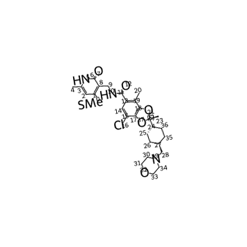 CSc1cc(C)[nH]c(=O)c1CNC(=O)c1cc(Cl)c2c(c1C)O[C@](C)([C@H]1CC[C@H](CN3CCOCC3)CC1)O2